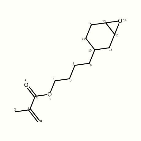 C=C(C)C(=O)OCCCCC1CCC2OC2C1